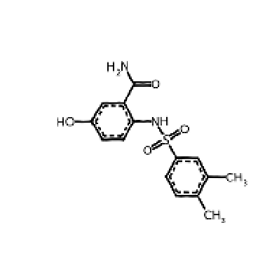 Cc1ccc(S(=O)(=O)Nc2ccc(O)cc2C(N)=O)cc1C